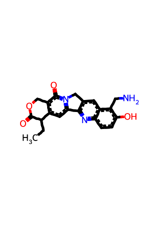 CCC1C(=O)OCc2c1cc1n(c2=O)Cc2cc3c(CN)c(O)ccc3nc2-1